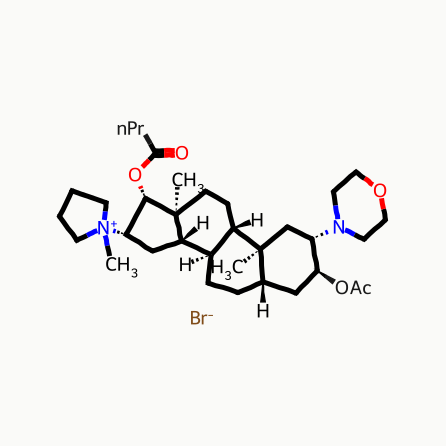 CCCC(=O)O[C@H]1[C@@H]([N+]2(C)CCCC2)C[C@H]2[C@@H]3CC[C@H]4C[C@H](OC(C)=O)[C@@H](N5CCOCC5)C[C@]4(C)[C@H]3CC[C@@]21C.[Br-]